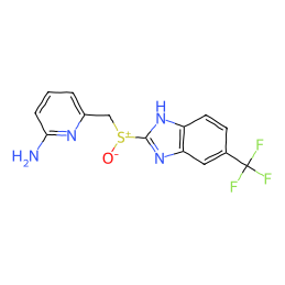 Nc1cccc(C[S+]([O-])c2nc3cc(C(F)(F)F)ccc3[nH]2)n1